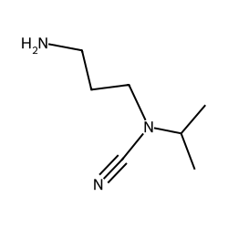 CC(C)N(C#N)CCCN